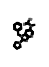 CC(C)C(=O)N(C)c1cnc2nc(N3CCCC3)n(Cc3ccccc3)c2c1